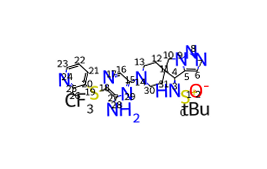 CC(C)(C)[S@@+]([O-])N[C@@H]1c2cnnn2CC12CCN(c1cnc(Sc3cccnc3C(F)(F)F)c(N)n1)CC2